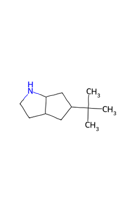 CC(C)(C)C1CC2CCNC2C1